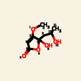 COC1=CC(=O)OC1(O)CC(C)O